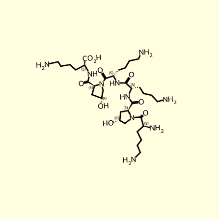 NCCCC[C@H](NC(=O)[C@@H]1C[C@@H](O)CN1C(=O)[C@H](CCCCN)NC(=O)[C@H](CCCCN)NC(=O)[C@@H]1C[C@@H](O)CN1C(=O)[C@@H](N)CCCCN)C(=O)O